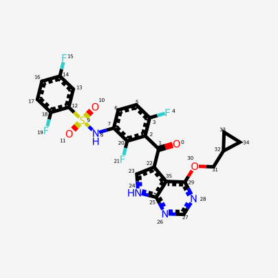 O=C(c1c(F)ccc(NS(=O)(=O)c2cc(F)ccc2F)c1F)c1c[nH]c2ncnc(OCC3CC3)c12